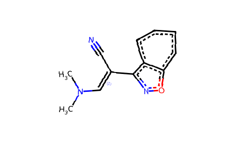 CN(C)/C=C(\C#N)c1noc2ccccc12